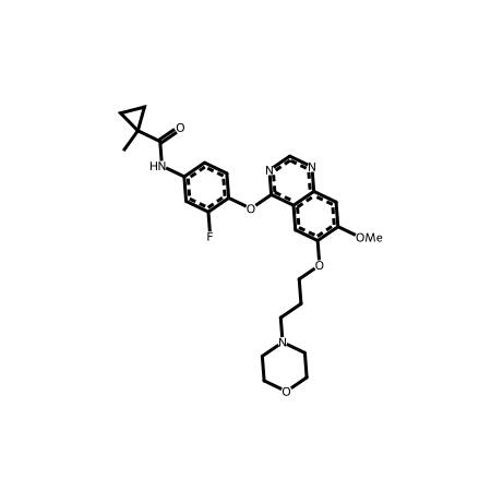 COc1cc2ncnc(Oc3ccc(NC(=O)C4(C)CC4)cc3F)c2cc1OCCCN1CCOCC1